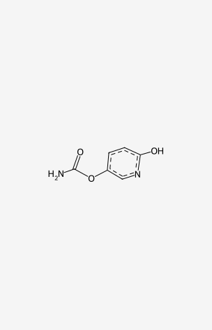 NC(=O)Oc1ccc(O)nc1